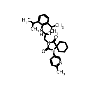 Cc1ccc(N2C(=O)N(CC(=O)Nc3c(C(C)C)cccc3C(C)C)C(=O)C23CCCCC3)cn1